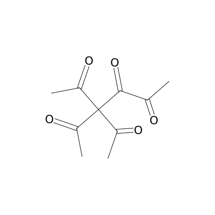 CC(=O)C(=O)C(C(C)=O)(C(C)=O)C(C)=O